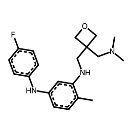 Cc1ccc(Nc2ccc(F)cc2)cc1NCC1(CN(C)C)COC1